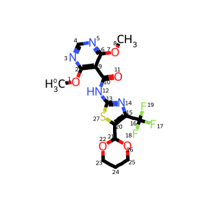 COc1ncnc(OC)c1C(=O)Nc1nc(C(F)(F)F)c(C2OCCCO2)s1